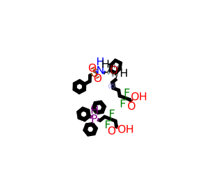 O=C(O)C(F)(F)CC/C=C\C[C@@H]1[C@H](CNS(=O)(=O)CCc2ccccc2)[C@@H]2CC[C@H]1O2.O=C(O)CC(F)(F)CC[PH](c1ccccc1)(c1ccccc1)c1ccccc1